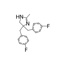 CC1=NC(Cc2ccc(F)cc2)(Cc2ccc(F)cc2)CN1